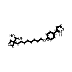 OC(O)C1(CCCCCCCCOc2ccc(-c3ccn[nH]3)cc2)COC1